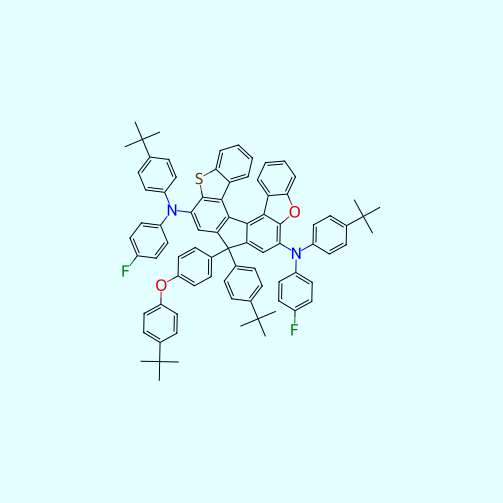 CC(C)(C)c1ccc(Oc2ccc(C3(c4ccc(C(C)(C)C)cc4)c4cc(N(c5ccc(F)cc5)c5ccc(C(C)(C)C)cc5)c5oc6ccccc6c5c4-c4c3cc(N(c3ccc(F)cc3)c3ccc(C(C)(C)C)cc3)c3sc5ccccc5c43)cc2)cc1